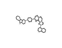 c1ccc2c(-c3ccc4ccc5ccc(-c6ccc(-c7ccc8sc9ccccc9c8c7)cc6)nc5c4n3)cccc2c1